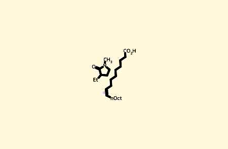 CCC1CCN(C)C1=O.CCCCCCCC/C=C\CCCCCCCC(=O)O